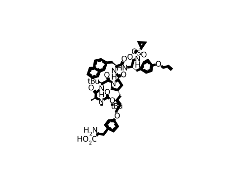 C=CCOc1ccc(C[C@H](NC(=O)[C@H](Cc2ccc3ccccc3c2)NC(=O)[C@@H]2C[C@H](C/C=C/COc3ccc(CC(N)C(=O)O)cc3)CN2C(=O)[C@@H](NC(=O)[C@H](C)N(C)C(=O)OC(C)(C)C)C(C)(C)C)C(=O)NS(=O)(=O)C2CC2)cc1